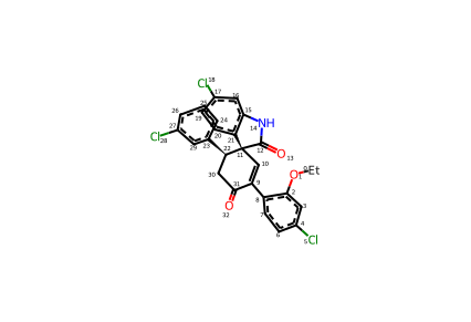 CCOc1cc(Cl)ccc1C1=C[C@@]2(C(=O)Nc3cc(Cl)ccc32)[C@H](c2cccc(Cl)c2)CC1=O